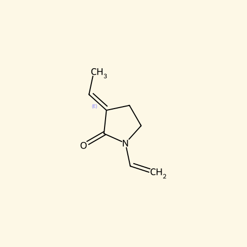 C=CN1CC/C(=C\C)C1=O